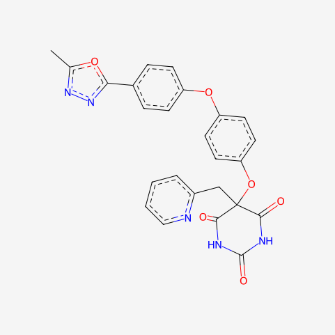 Cc1nnc(-c2ccc(Oc3ccc(OC4(Cc5ccccn5)C(=O)NC(=O)NC4=O)cc3)cc2)o1